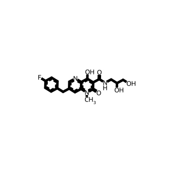 Cn1c(=O)c(C(=O)NCC(O)CO)c(O)c2ncc(Cc3ccc(F)cc3)cc21